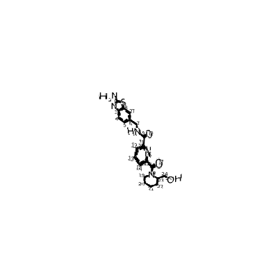 Nc1nc2ccc(CNC(=O)c3cccc(C(=O)N4CCCCC4CO)n3)cc2s1